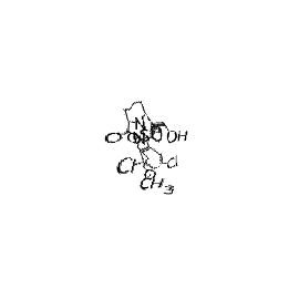 COCCCN1C[C@H](CO)C2CCCC(C1=O)N2S(=O)(=O)c1cc(Cl)cc(Cl)c1